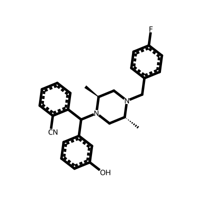 C[C@@H]1CN(C(c2cccc(O)c2)c2ccccc2C#N)[C@@H](C)CN1Cc1ccc(F)cc1